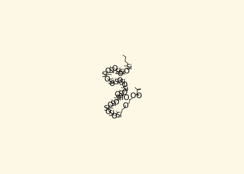 C=C(C)C(=O)OCC(O)COCCC[Si](C)(C)O[Si](C)(C)O[Si](C)(C)O[Si](C)(C)O[Si](C)(C)O[Si](C)(C)O[Si](C)(C)O[Si](C)(C)O[Si](C)(C)O[Si](C)(C)O[Si](C)(C)O[Si](C)(C)O[Si](C)(C)O[Si](C)(C)O[Si](C)(C)CCCC